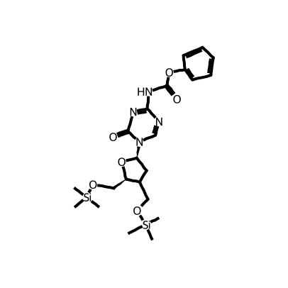 C[Si](C)(C)OCC1C[C@H](n2cnc(NC(=O)Oc3ccccc3)nc2=O)O[C@@H]1CO[Si](C)(C)C